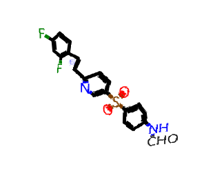 O=CNc1ccc(S(=O)(=O)c2ccc(/C=C/c3ccc(F)cc3F)nc2)cc1